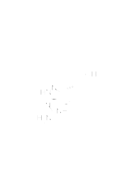 Nc1nc2[nH]nc(C#CCCO)c2c(=O)[nH]1